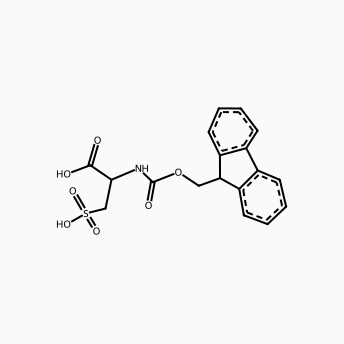 O=C(NC(CS(=O)(=O)O)C(=O)O)OCC1c2ccccc2-c2ccccc21